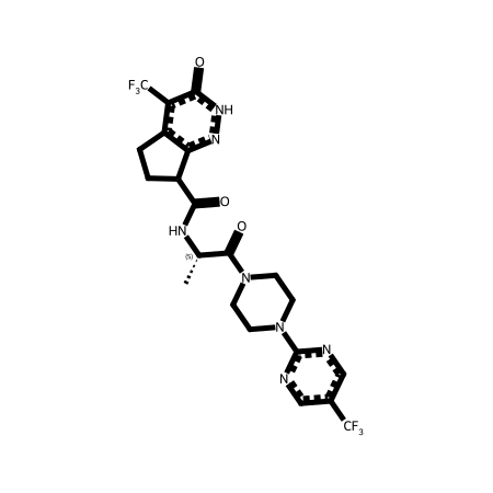 C[C@H](NC(=O)C1CCc2c1n[nH]c(=O)c2C(F)(F)F)C(=O)N1CCN(c2ncc(C(F)(F)F)cn2)CC1